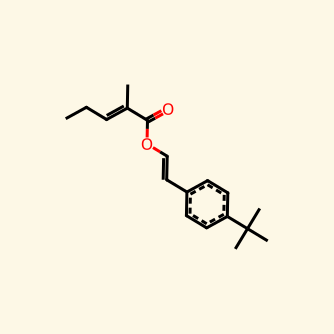 CCC=C(C)C(=O)OC=Cc1ccc(C(C)(C)C)cc1